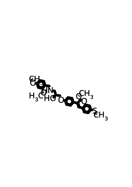 COC(=O)C(=Cc1ccc(SC)cc1)c1ccc(OCC(O)CNCc2ccc(OC)cc2OC)cc1